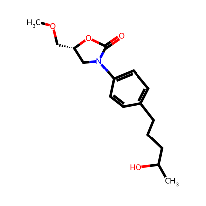 COC[C@H]1CN(c2ccc(CCCC(C)O)cc2)C(=O)O1